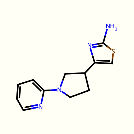 Nc1nc(C2CCN(c3ccccn3)C2)cs1